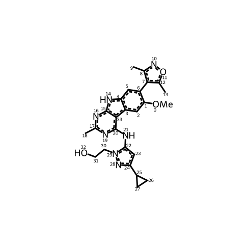 COc1cc2c(cc1-c1c(C)noc1C)[nH]c1nc(C)nc(Nc3cc(C4CC4)nn3CCO)c12